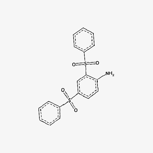 Nc1ccc(S(=O)(=O)c2ccccc2)cc1S(=O)(=O)c1ccccc1